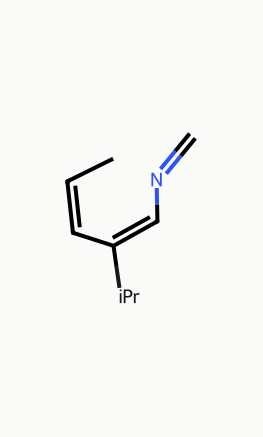 C=N/C=C(\C=C/C)C(C)C